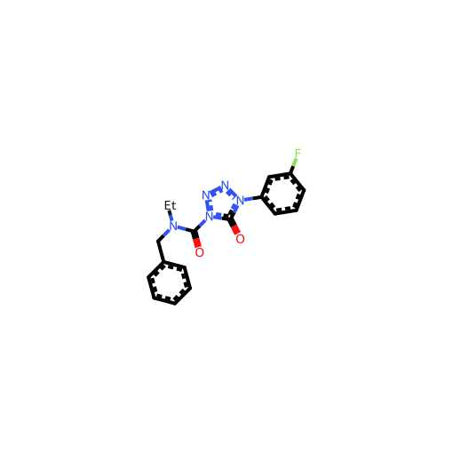 CCN(Cc1ccccc1)C(=O)n1nnn(-c2cccc(F)c2)c1=O